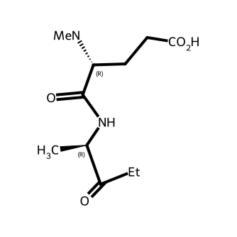 CCC(=O)[C@@H](C)NC(=O)[C@@H](CCC(=O)O)NC